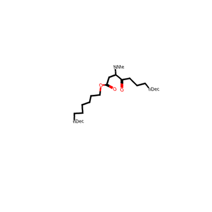 CCCCCCCCCCCCCCCCOC(=O)CC(NC)C(=O)CCCCCCCCCCCCC